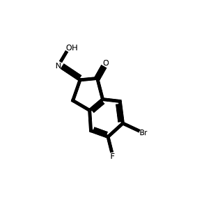 O=C1C(=NO)Cc2cc(F)c(Br)cc21